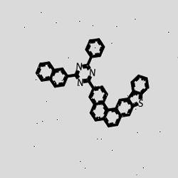 c1ccc(-c2nc(-c3ccc4ccccc4c3)nc(-c3ccc4c(ccc5ccc6cc7sc8ccccc8c7cc6c54)c3)n2)cc1